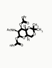 CCCC(=O)OC1O[C@@H]2COC(C)(C)O[C@H]2[C@H](OC(=O)CCC)[C@@H]1NC(C)=O